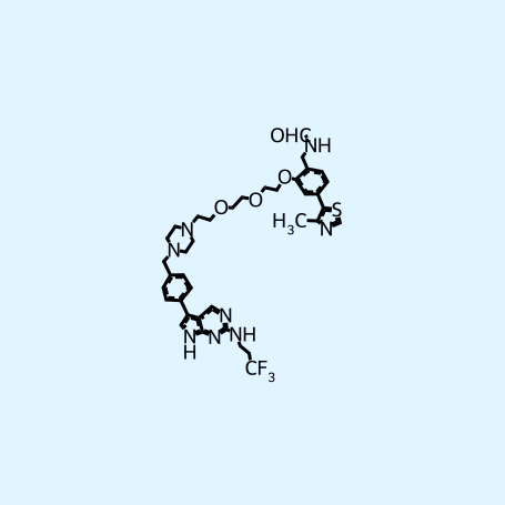 Cc1ncsc1-c1ccc(CNC=O)c(OCCOCCOCCN2CCN(Cc3ccc(-c4c[nH]c5nc(NCCC(F)(F)F)ncc45)cc3)CC2)c1